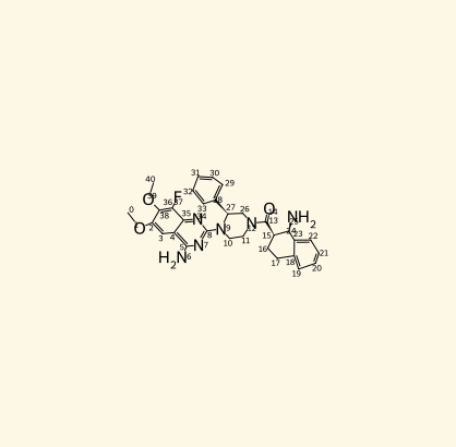 COc1cc2c(N)nc(N3CCN(C(=O)[C@@H]4CCc5ccccc5[C@@H]4N)C[C@@H]3c3ccccc3)nc2c(F)c1OC